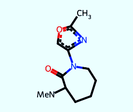 CNC1CCCCN(c2coc(C)n2)C1=O